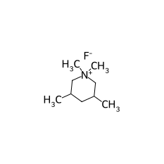 CC1CC(C)C[N+](C)(C)C1.[F-]